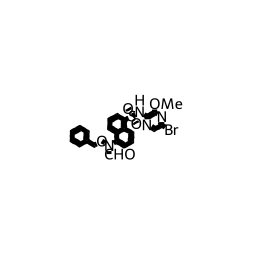 COc1nc(Br)cnc1NS(=O)(=O)c1cccc2c(N(C=O)OCc3ccccc3)cccc12